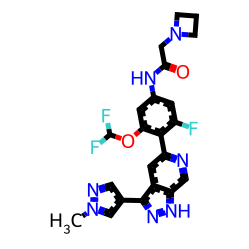 Cn1cc(-c2n[nH]c3cnc(-c4c(F)cc(NC(=O)CN5CCC5)cc4OC(F)F)cc23)cn1